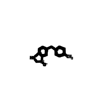 Cc1ccc(Cc2ccc3c(c2)[S+]([O-])CN3)cc1